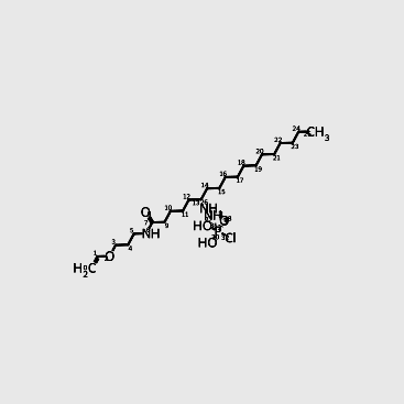 C=COCCCNC(=O)CCCCCCCCCCCCCCCCC.N.N.O=P(O)(O)Cl